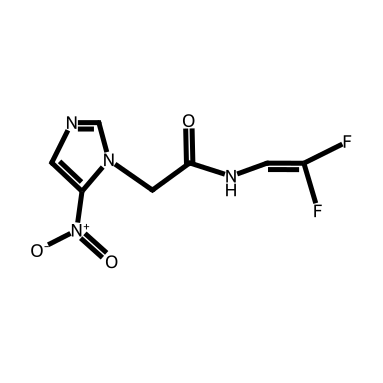 O=C(Cn1cncc1[N+](=O)[O-])NC=C(F)F